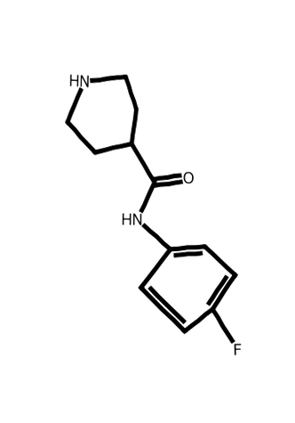 O=C(Nc1ccc(F)cc1)C1CCNCC1